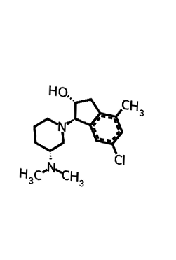 Cc1cc(Cl)cc2c1C[C@@H](O)[C@@H]2N1CCC[C@@H](N(C)C)C1